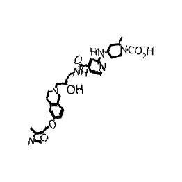 Cc1ncoc1COc1ccc2c(c1)CCN(C[C@@H](O)CNC(=O)c1ccnc(N[C@H]3CCN(C(=O)O)[C@H](C)C3)c1)C2